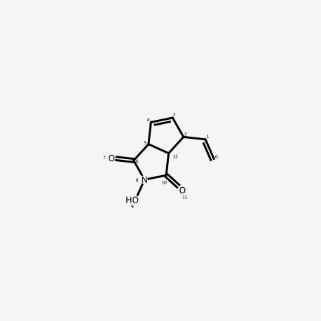 C=CC1C=CC2C(=O)N(O)C(=O)C12